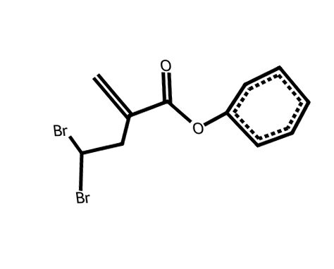 C=C(CC(Br)Br)C(=O)Oc1ccccc1